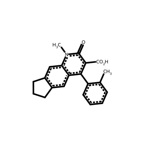 Cc1ccccc1-c1c(C(=O)O)c(=O)n(C)c2cc3c(cc12)CCC3